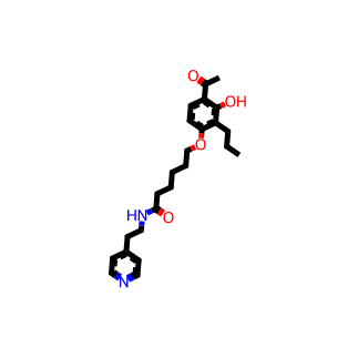 CCCc1c(OCCCCCC(=O)NCCc2ccncc2)ccc(C(C)=O)c1O